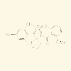 COc1cccc(OC)c1C(=O)[P](=O)C1(C(=O)c2c(C)cc(C(C)(C)C)cc2C)CCCC1